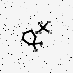 BrC1(Br)CCCCC1.FC(F)(F)Br